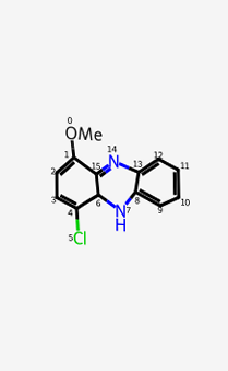 COC1=CC=C(Cl)C2Nc3ccccc3N=C12